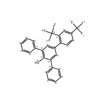 FC(F)(F)c1ccc(-c2cc(-c3ccccc3)c(S)c(-c3ccccc3)c2)c(C(F)(F)F)c1